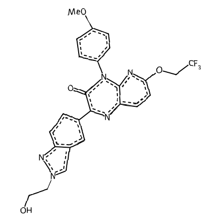 COc1ccc(-n2c(=O)c(-c3ccc4nn(CCO)cc4c3)nc3ccc(OCC(F)(F)F)nc32)cc1